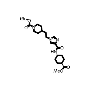 COC(=O)[C@H]1CC[C@H](NC(=O)c2cn(CCC3CCN(C(=O)OC(C)(C)C)CC3)cn2)CC1